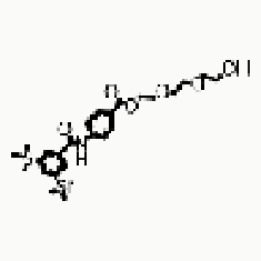 C[Si](C)(C)c1cc(C(=O)Nc2ccc(C(=O)OCCOCCOCCO)cc2)cc([Si](C)(C)C)c1